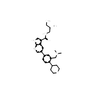 CC(C)[C@@H](CO)CNC(=O)c1c[nH]c2ncc(-c3ccc(C4CCOCC4)c(CN(C)C)c3)cc12